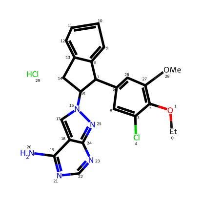 CCOc1c(Cl)cc(C2c3ccccc3CC2n2cc3c(N)ncnc3n2)cc1OC.Cl